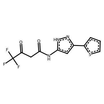 O=C(CC(=O)C(F)(F)F)Nc1cc(-c2cccs2)n[nH]1